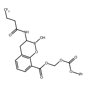 CC(C)OC(=O)OCOC(=O)c1cccc2c1OB(O)C(NC(=O)CCC(F)(F)F)C2